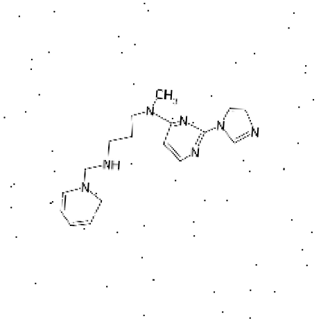 CN(CCCNCN1C=CC=CC1)c1ccnc(-n2ccnc2)n1